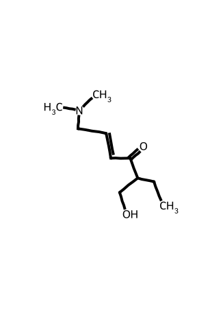 CCC(CO)C(=O)/C=C/CN(C)C